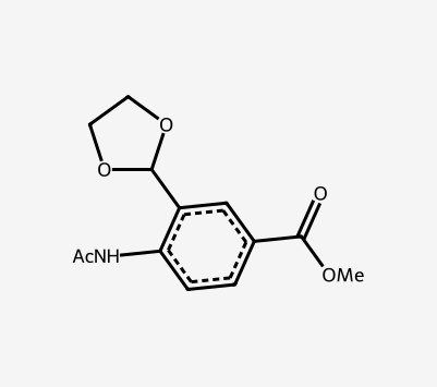 COC(=O)c1ccc(NC(C)=O)c(C2OCCO2)c1